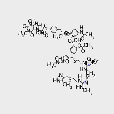 CC(=O)Nc1ccc(O)cc1.CC(=O)Oc1ccccc1C(=O)O.CC(C)Cc1ccc(C(C)C(=O)O)cc1.CN/C(=C/[N+](=O)[O-])NCCSCc1ccc(CN(C)C)o1.CN/C(=N/C#N)NCCSCc1nc[nH]c1C.Cn1c(=O)c2c(ncn2C)n(C)c1=O